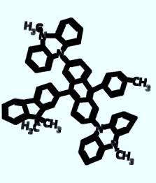 Cc1ccc(-c2c3ccc(N4c5ccccc5N(C)c5ccccc54)cc3c(-c3ccc4c(c3)C(C)(C)c3ccccc3-4)c3ccc(N4c5ccccc5N(C)c5ccccc54)cc23)cc1